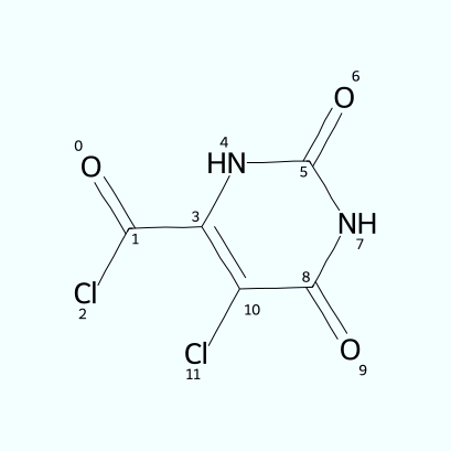 O=C(Cl)c1[nH]c(=O)[nH]c(=O)c1Cl